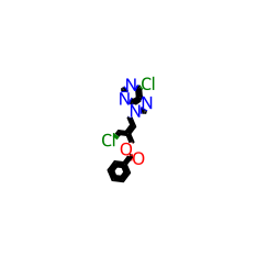 O=C(OC/C(=C/Cn1cnc2c(Cl)ncnc21)CCl)c1ccccc1